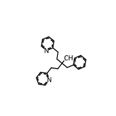 CC(CCc1ccccn1)(CCc1ccccn1)Cc1ccccc1